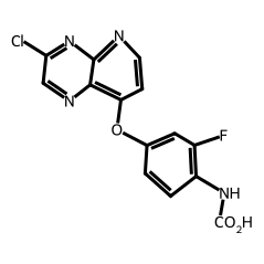 O=C(O)Nc1ccc(Oc2ccnc3nc(Cl)cnc23)cc1F